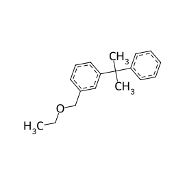 CCOCc1cccc(C(C)(C)c2ccccc2)c1